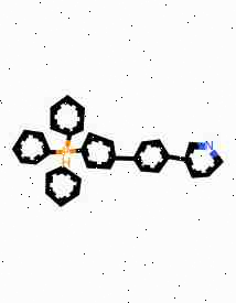 c1ccc([PH](c2ccccc2)(c2ccccc2)c2ccc(-c3ccc(-c4cccnc4)cc3)cc2)cc1